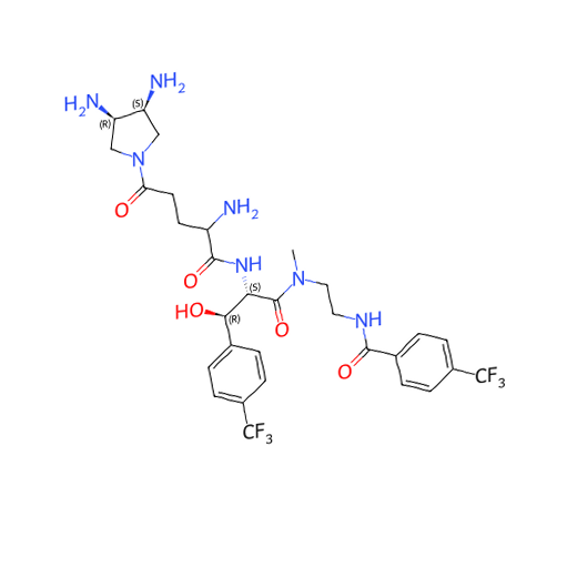 CN(CCNC(=O)c1ccc(C(F)(F)F)cc1)C(=O)[C@@H](NC(=O)C(N)CCC(=O)N1C[C@@H](N)[C@@H](N)C1)[C@H](O)c1ccc(C(F)(F)F)cc1